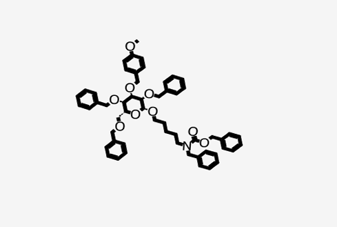 COc1ccc(CO[C@H]2[C@@H](OCc3ccccc3)[C@@H](COCc3ccccc3)O[C@@H](OCCCCCN(Cc3ccccc3)C(=O)OCc3ccccc3)[C@@H]2OCc2ccccc2)cc1